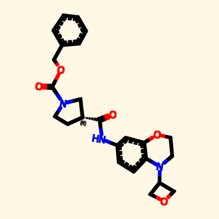 O=C(Nc1ccc2c(c1)OCCN2C1COC1)[C@@H]1CCN(C(=O)OCc2ccccc2)C1